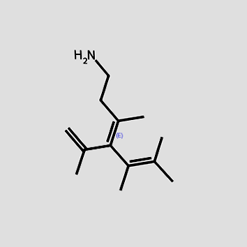 C=C(C)/C(C(C)=C(C)C)=C(/C)CCN